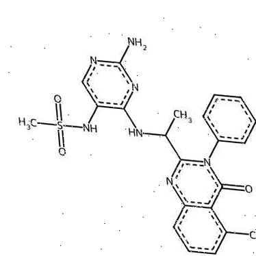 CC(Nc1nc(N)ncc1NS(C)(=O)=O)c1nc2cccc(Cl)c2c(=O)n1-c1ccccc1